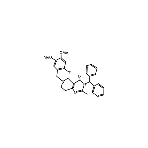 COc1cc(F)c(CN2CCc3nc(C)n(C(c4ccccc4)c4ccccc4)c(=O)c3C2)cc1OC